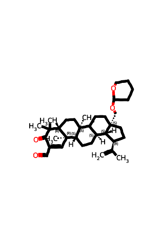 C=C(C)[C@@H]1CC[C@]2(COC3CCCCO3)CCC3[C@H](CC[C@@H]4[C@@]5(C)C=C(C=O)C(=O)C(C)(C)[C@@H]5CC[C@@]34C)[C@@H]12